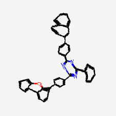 c1ccc(-c2nc(-c3ccc(-c4ccc5ccccc5c4)cc3)nc(-c3ccc(-c4cccc5c4oc4ccccc45)cc3)n2)cc1